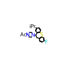 CC(=O)N1CCN(C2Cc3ccc(F)cc3Sc3ccc(C(C)C)cc32)CC1